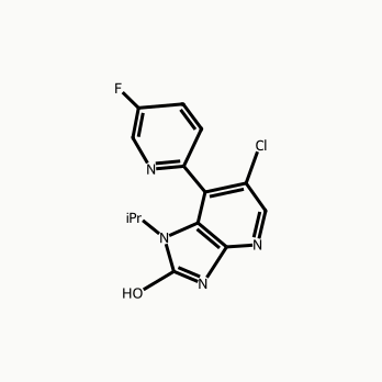 CC(C)n1c(O)nc2ncc(Cl)c(-c3ccc(F)cn3)c21